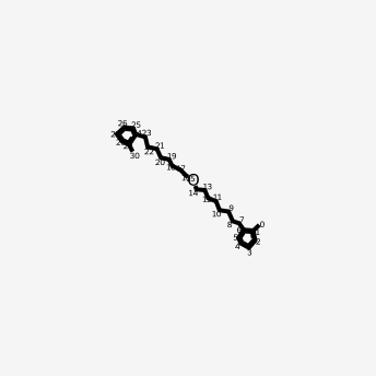 Cc1ccccc1CCCCCCCCOCCCCCCCCc1ccccc1C